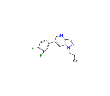 CC(=O)CCn1ncc2ncc(-c3ccc(F)c(F)c3)cc21